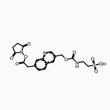 O=C(Cc1ccc2cc(COC(=O)NCCS(=O)(=O)O)cnc2c1)ON1C(=O)CCC1=O